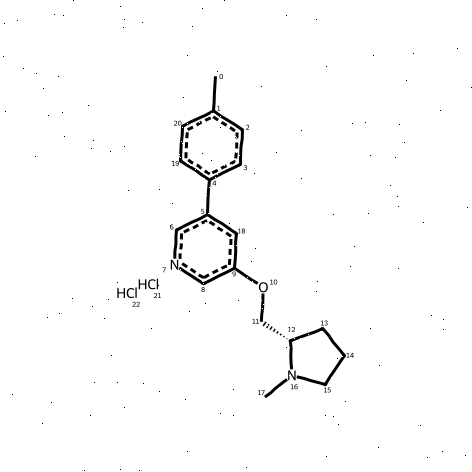 Cc1ccc(-c2cncc(OC[C@@H]3CCCN3C)c2)cc1.Cl.Cl